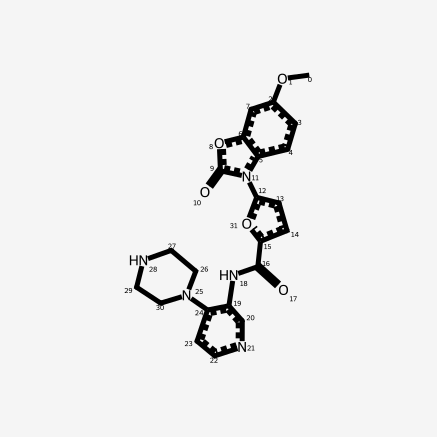 COc1ccc2c(c1)oc(=O)n2-c1ccc(C(=O)Nc2cnccc2N2CCNCC2)o1